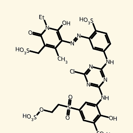 CCn1c(O)c(/N=N/c2cc(Nc3nc(Cl)nc(Nc4cc(S(=O)(=O)CCOS(=O)(=O)O)cc(S(=O)(=O)O)c4O)n3)ccc2S(=O)(=O)O)c(C)c(CS(=O)(=O)O)c1=O